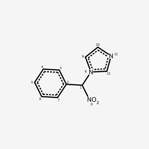 O=[N+]([O-])C(c1ccccc1)n1ccnc1